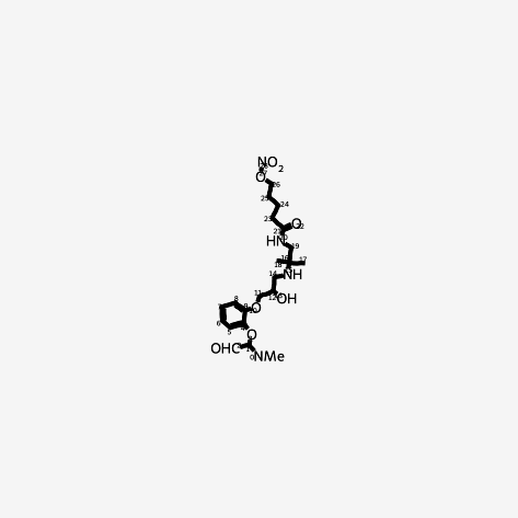 CNC(C=O)Oc1ccccc1OCC(O)CNC(C)(C)CNC(=O)CCCCO[N+](=O)[O-]